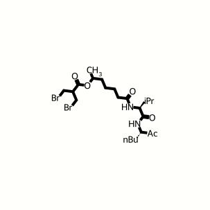 CCCC[C@H](NC(=O)[C@@H](NC(=O)CCCCC(C)OC(=O)C(CBr)CBr)C(C)C)C(C)=O